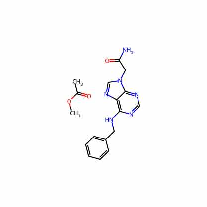 COC(C)=O.NC(=O)Cn1cnc2c(NCc3ccccc3)ncnc21